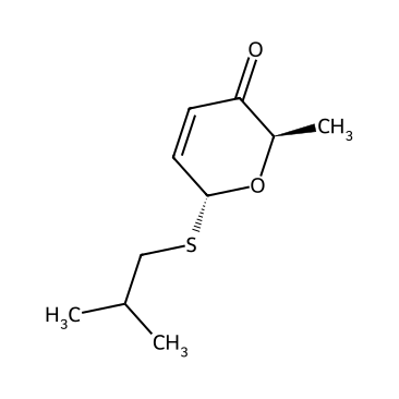 CC(C)CS[C@@H]1C=CC(=O)[C@@H](C)O1